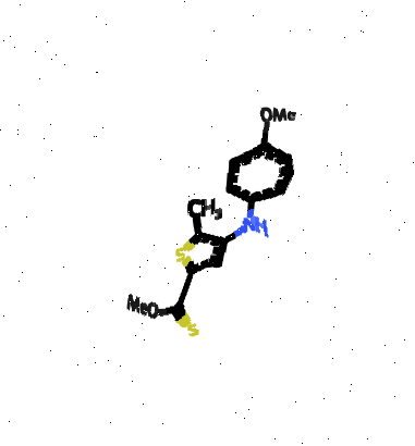 COC(=S)c1cc(Nc2ccc(OC)cc2)c(C)s1